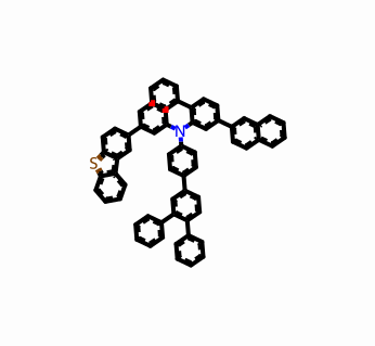 c1ccc(-c2ccc(-c3ccc(N(c4cccc(-c5ccc6sc7ccccc7c6c5)c4)c4cc(-c5ccc6ccccc6c5)ccc4-c4ccccc4)cc3)cc2-c2ccccc2)cc1